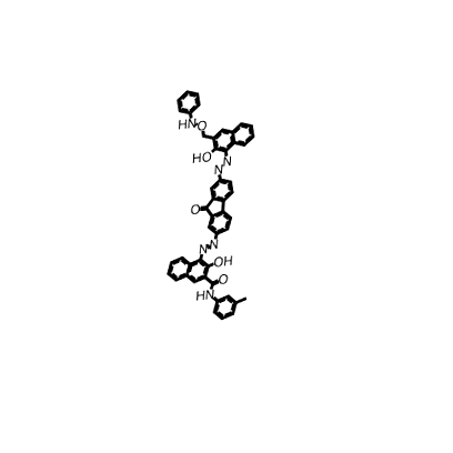 Cc1cccc(NC(=O)c2cc3ccccc3c(N=Nc3ccc4c(c3)C(=O)c3cc(N=Nc5c(O)c(CONc6ccccc6)cc6ccccc56)ccc3-4)c2O)c1